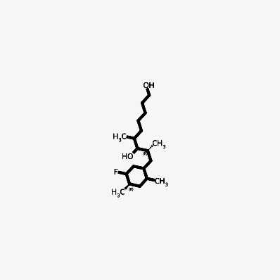 CC1C[C@@H](C)C(F)CC1C[C@@H](C)C(O)C(C)CCCCCO